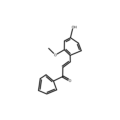 COc1cc(O)ccc1C=CC(=O)c1ccccc1